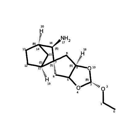 CCO[C@@H]1OC2C[C@]3(C[C@H]2O1)[C@H]1CC[C@H](C1)[C@H]3N